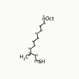 CCCCCCCCCCCCCCCCC(C)CCS